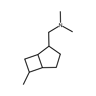 CC1CC2C(CN(C)C)CCC12